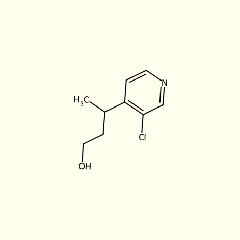 CC(CCO)c1ccncc1Cl